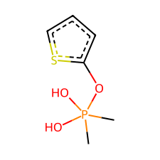 CP(C)(O)(O)Oc1cccs1